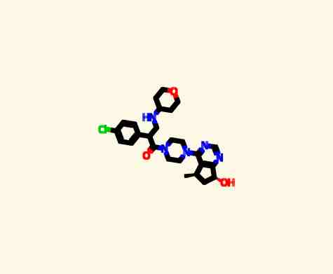 C[C@@H]1C[C@@H](O)c2ncnc(N3CCN(C(=O)C(CNC4CCOCC4)c4ccc(Cl)cc4)CC3)c21